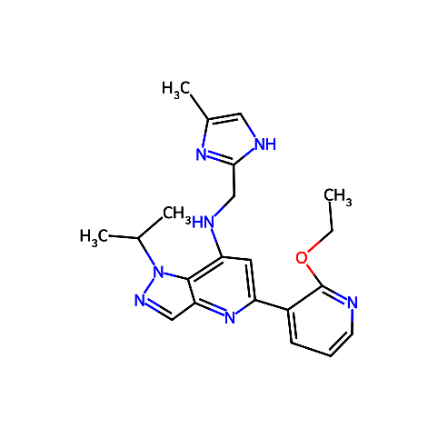 CCOc1ncccc1-c1cc(NCc2nc(C)c[nH]2)c2c(cnn2C(C)C)n1